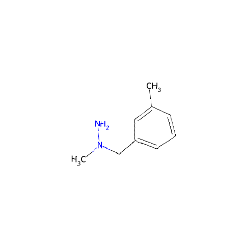 Cc1cccc(CN(C)N)c1